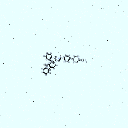 CN1CCN(c2ccc(/C=C/C(=O)N3CCc4c([nH]c5ccccc45)C3c3ccccc3)cc2)CC1